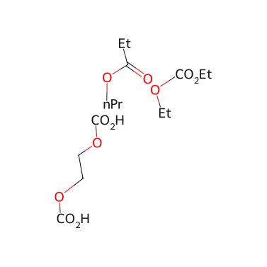 CCCOC(=O)CC.CCOC(=O)OCC.O=C(O)OCCOC(=O)O